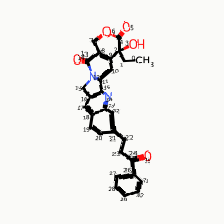 CCC1(O)C(=O)OCc2c1cc1n(c2=O)Cc2cc3ccc(CCC(=O)c4ccccc4)cc3nc2-1